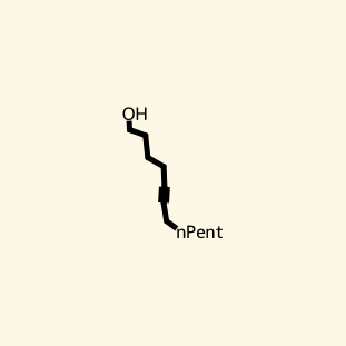 CCCCCCC#CCCCCO